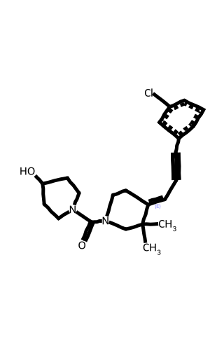 CC1(C)CN(C(=O)N2CCC(O)CC2)CC/C1=C\C#Cc1cccc(Cl)c1